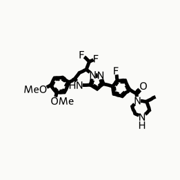 COc1ccc(C2CC(C(F)F)n3nc(-c4ccc(C(=O)N5CCNCC5C)cc4F)cc3N2)cc1OC